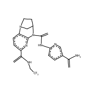 C=C(N)c1ccc(NC(=C)N2c3nc(C(=C)NCC(F)(F)F)ccc3N3CCC2C3)nc1